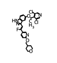 C[C@@H](Oc1ccc2[nH]nc(/C=C(\F)c3ccc(OCC4CCOCC4)nc3)c2c1)c1c(Cl)cncc1Cl